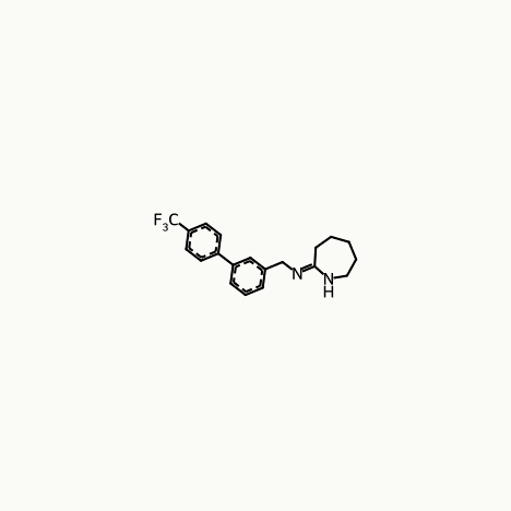 FC(F)(F)c1ccc(-c2cccc(CN=C3CCCCCN3)c2)cc1